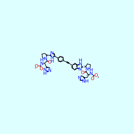 COC(=O)NC(C(=O)N1CCC[C@H]1c1ncc(-c2ccc(C#Cc3ccc4nc([C@@H]5CCCN5C(=O)[C@H](Cc5cnc[nH]5)NC(=O)OC)[nH]c4c3)cc2)[nH]1)c1cnc[nH]1